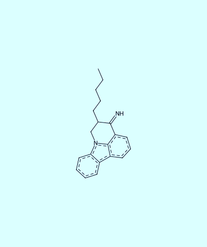 CCCCCC1Cn2c3ccccc3c3cccc(c32)C1=N